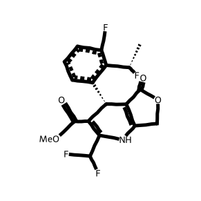 COC(=O)C1=C(C(F)F)NC2=C(C(=O)OC2)[C@H]1c1cccc(F)c1[C@H](C)F